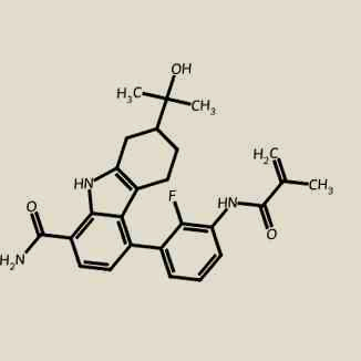 C=C(C)C(=O)Nc1cccc(-c2ccc(C(N)=O)c3[nH]c4c(c23)CCC(C(C)(C)O)C4)c1F